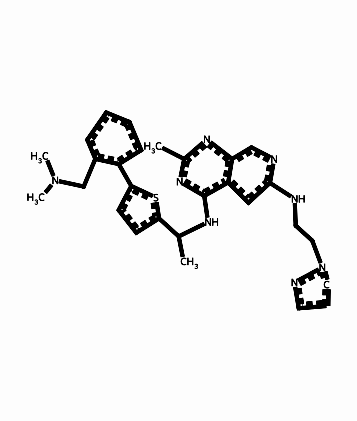 Cc1nc(NC(C)c2ccc(-c3ccccc3CN(C)C)s2)c2cc(NCCn3cccn3)ncc2n1